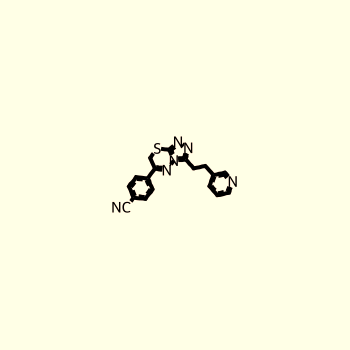 N#Cc1ccc(C2=Nn3c(CCc4cccnc4)nnc3SC2)cc1